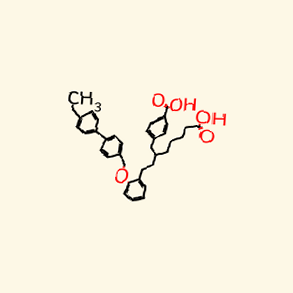 CCc1ccc(-c2ccc(COc3ccccc3CCC(CCCCC(=O)O)Cc3ccc(C(=O)O)cc3)cc2)cc1